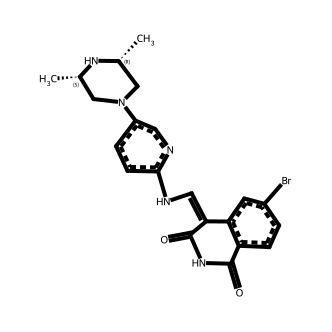 C[C@@H]1CN(c2ccc(NC=C3C(=O)NC(=O)c4ccc(Br)cc43)nc2)C[C@H](C)N1